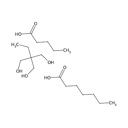 CCC(CO)(CO)CO.CCCCC(=O)O.CCCCCCC(=O)O